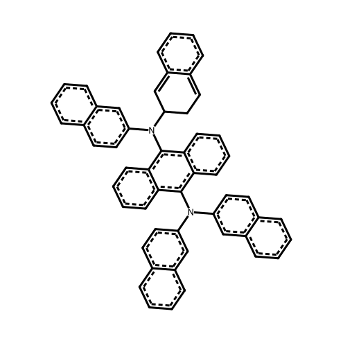 C1=c2ccccc2=CC(N(c2ccc3ccccc3c2)c2c3ccccc3c(N(c3ccc4ccccc4c3)c3ccc4ccccc4c3)c3ccccc23)C1